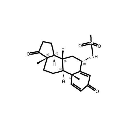 C[C@]12C=CC(=O)C=C1[C@@H](NS(C)(=O)=O)C[C@@H]1[C@@H]2CC[C@]2(C)C(=O)CC[C@@H]12